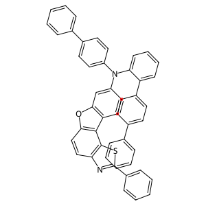 c1ccc(-c2ccc(-c3ccccc3N(c3ccc(-c4ccccc4)cc3)c3ccc4c(c3)oc3ccc5nc(-c6ccccc6)sc5c34)cc2)cc1